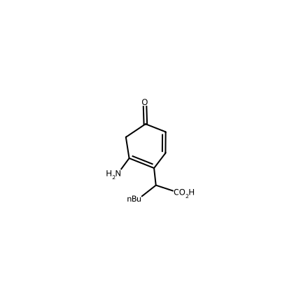 CCCCC(C(=O)O)C1=C(N)CC(=O)C=C1